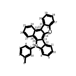 Cc1cccc(-n2c3ccccc3c3c4oc5ccccc5c4c4ccccc4c32)c1